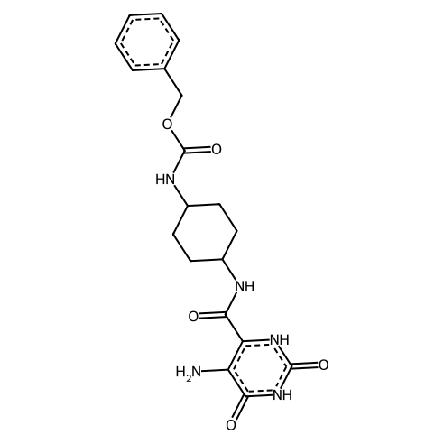 Nc1c(C(=O)NC2CCC(NC(=O)OCc3ccccc3)CC2)[nH]c(=O)[nH]c1=O